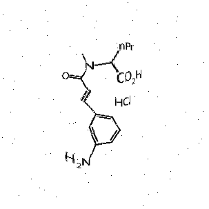 CCCC(C(=O)O)N(C)C(=O)C=Cc1cccc(N)c1.Cl